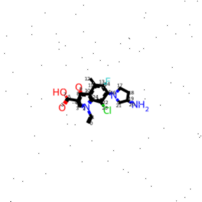 C=Cn1cc(C(=O)O)c(=O)c2c(C)c(F)c(N3CCC(N)C3)c(Cl)c21